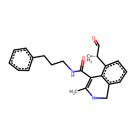 CC1=C(C(=O)NCCCc2ccccc2)c2c(cccc2[C@H](C)C=O)C[N]1